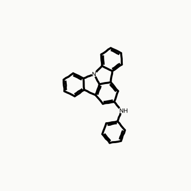 c1ccc(Nc2cc3c4ccccc4n4c5ccccc5c(c2)c34)cc1